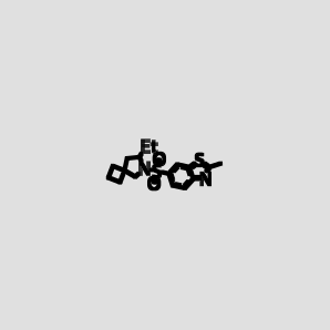 CCC1CC2(CCC2)CN1S(=O)(=O)c1ccc2nc(C)sc2c1